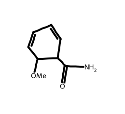 COC1C=CC=CC1C(N)=O